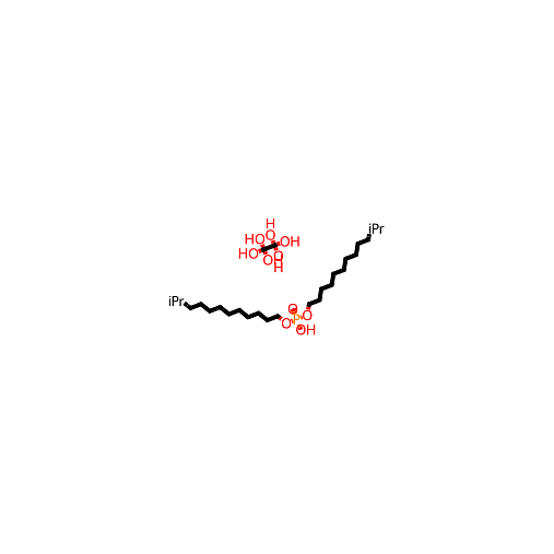 CC(C)CCCCCCCCCCOP(=O)(O)OCCCCCCCCCCC(C)C.OC(O)(O)C(O)(O)O